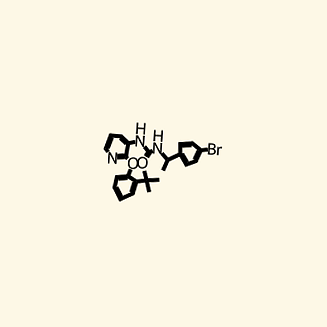 CC(NC(=O)Nc1cccnc1Oc1ccccc1C(C)(C)C)c1ccc(Br)cc1